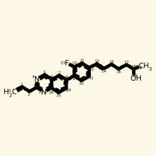 C=CCc1ncc2cc(-c3ccc(C=CCCCC(C)O)cc3F)ccc2n1